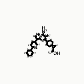 Nc1c(Br)c(C2CCC3(CC2)CC3C(=O)O)nc2c(-c3ccc(-c4ccccc4)nc3)cnn12